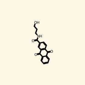 O=C(NCCCO)c1ccc2c(c1)C(=O)c1ccccc1C2=O